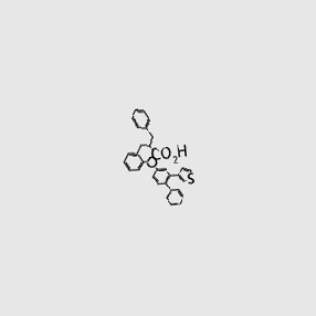 O=C(O)C(Cc1ccccc1)Cc1ccccc1Oc1ccc(-c2ccccc2)c(-c2ccsc2)c1